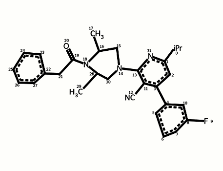 CC(C)c1cc(-c2cccc(F)c2)c(C#N)c(N2CC(C)N(C(=O)Cc3ccccc3)C(C)C2)n1